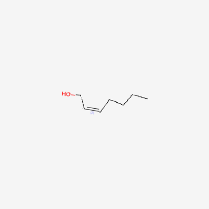 CCCC/C=[C]\CO